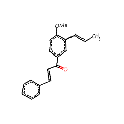 CC=Cc1cc(C(=O)C=Cc2ccccc2)ccc1OC